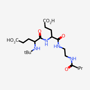 CC(C)C(=O)NCCNC(=O)C(CCC(=O)O)NC(=O)C(CCC(=O)O)NC(C)(C)C